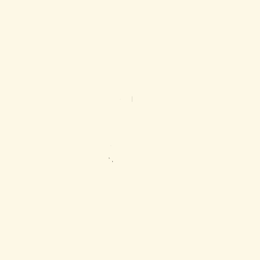 O=Cc1ccccc1C#Cc1ccccn1